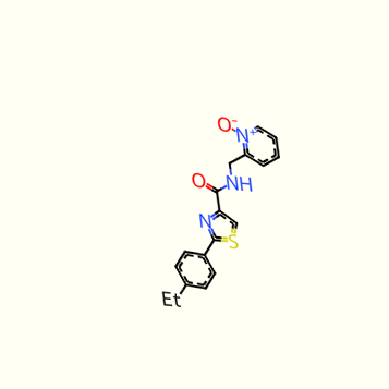 CCc1ccc(-c2nc(C(=O)NCc3cccc[n+]3[O-])cs2)cc1